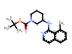 Cc1cccc2ccnc(NC3CCCN(C(=O)OC(C)(C)C)C3)c12